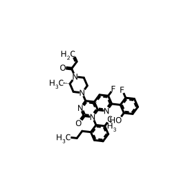 C=CC(=O)N1CCN(c2nc(=O)n(-c3c(C)cccc3CCC)c3nc(-c4c(O)cccc4F)c(F)cc23)C[C@@H]1C